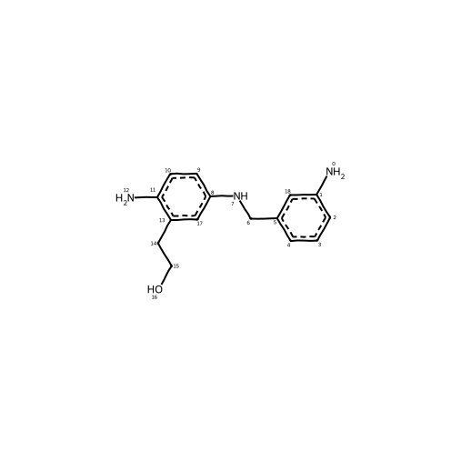 Nc1cccc(CNc2ccc(N)c(CCO)c2)c1